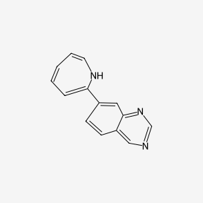 C1=CC=C(c2ccc3cncnc3c2)NC=C1